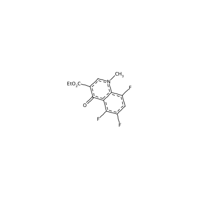 CCOC(=O)c1cn(C)c2c(F)cc(F)c(F)c2c1=O